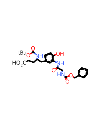 CC(C)(C)OC(=O)NC(CCC(=O)O)Cc1ccc(O)c(NC(=O)CNC(=O)OCc2ccccc2)c1